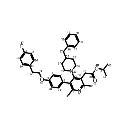 Cc1nc(C)c(-c2ccc(OCCc3ccc(F)cc3)cc2)c(N2CCC(Cc3ccccc3)CC2)c1CC(=O)OC(C)C